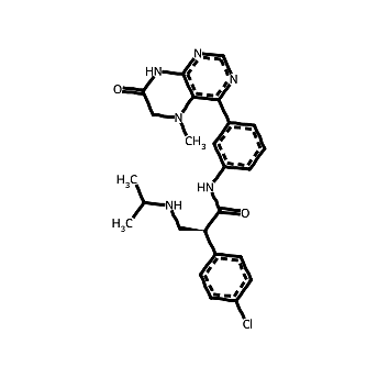 CC(C)NC[C@@H](C(=O)Nc1cccc(-c2ncnc3c2N(C)CC(=O)N3)c1)c1ccc(Cl)cc1